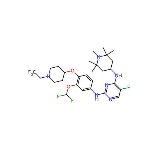 CN1C(C)(C)CC(Nc2nc(Nc3ccc(OC4CCN(CC(F)(F)F)CC4)c(OC(F)F)c3)ncc2F)CC1(C)C